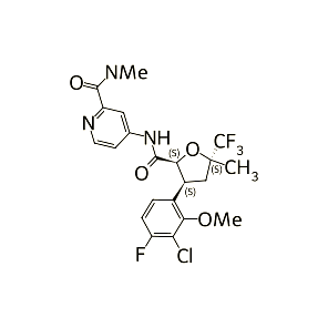 CNC(=O)c1cc(NC(=O)[C@H]2O[C@](C)(C(F)(F)F)C[C@H]2c2ccc(F)c(Cl)c2OC)ccn1